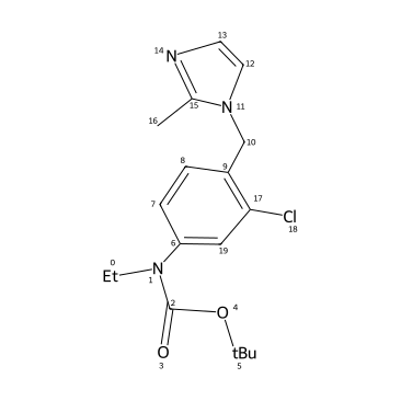 CCN(C(=O)OC(C)(C)C)c1ccc(Cn2ccnc2C)c(Cl)c1